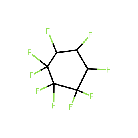 FC1C(F)C(F)(F)C(F)(F)C(F)(F)C1F